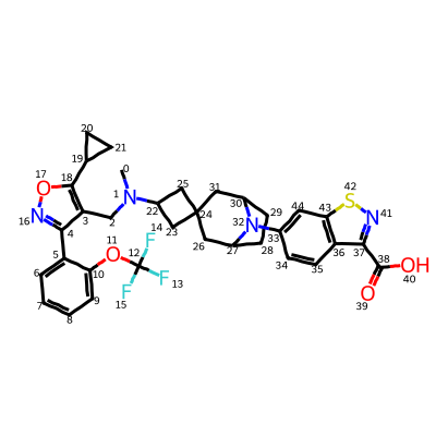 CN(Cc1c(-c2ccccc2OC(F)(F)F)noc1C1CC1)C1CC2(C1)CC1CCC(C2)N1c1ccc2c(C(=O)O)nsc2c1